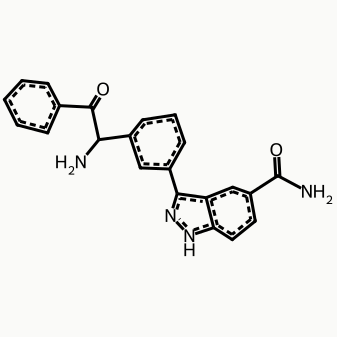 NC(=O)c1ccc2[nH]nc(-c3cccc(C(N)C(=O)c4ccccc4)c3)c2c1